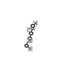 O=C(O)c1cccc(CNc2ncc(-c3ccc(-c4nc5cc(C(F)(F)F)ccc5[nH]4)c(F)c3)cn2)c1